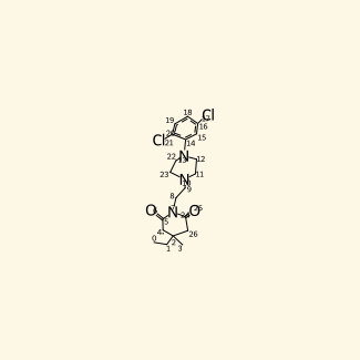 CCC1(C)[CH]C(=O)N(CCN2CCN(c3cc(Cl)ccc3Cl)CC2)C(=O)C1